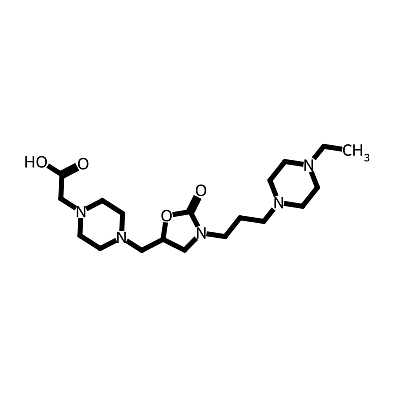 CCN1CCN(CCCN2CC(CN3CCN(CC(=O)O)CC3)OC2=O)CC1